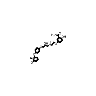 Cn1c(Oc2ccc(OCC(O)CNCCOc3ccc(O)c(C(N)=O)c3)cc2)cccc1=O